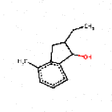 CCC1Cc2c(C)cccc2C1O